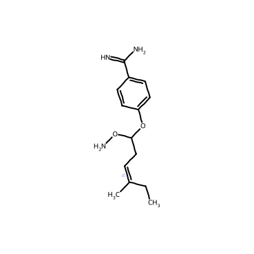 CC/C(C)=C\CC(ON)Oc1ccc(C(=N)N)cc1